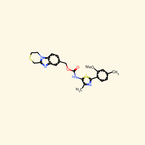 COc1cc(C)ccc1-c1nc(C)c(NC(=O)OCc2ccc3c(c2)nc2n3CCSC2)s1